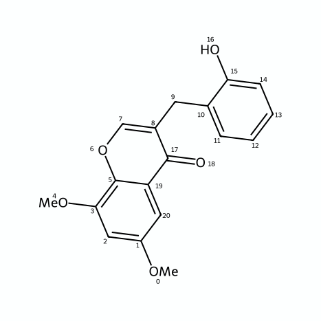 COc1cc(OC)c2occ(Cc3ccccc3O)c(=O)c2c1